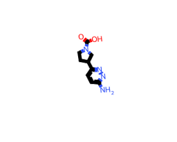 Nc1ccc(C2CCN(C(=O)O)C2)nn1